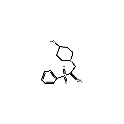 C=C(CN1CCC(O)CC1)S(=O)(=O)c1ccccc1